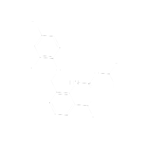 CCc1ccc(OCc2cccc(C(F)F)c2NC(=O)OC(F)F)c(C)c1